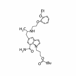 CCOc1ccccc1OCCNC(C)Cc1cc(C(N)=O)c2c(ccn2CCCOC(=O)C(C)(C)C)c1